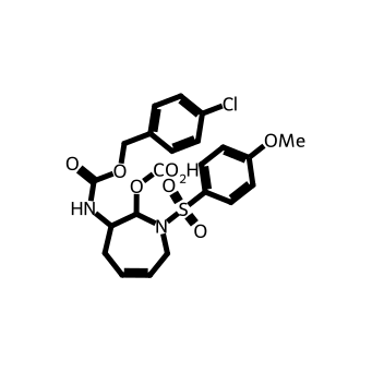 COc1ccc(S(=O)(=O)N2CC=CCC(NC(=O)OCc3ccc(Cl)cc3)C2OC(=O)O)cc1